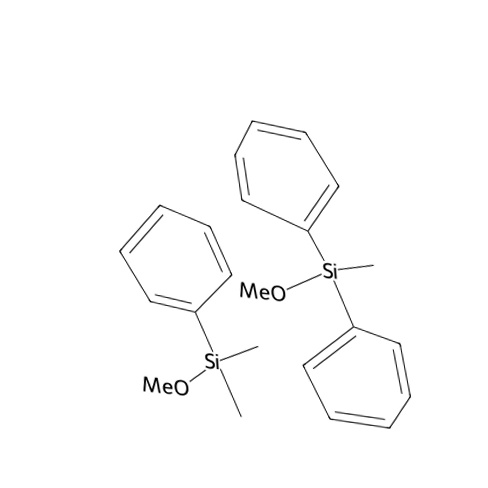 CO[Si](C)(C)c1ccccc1.CO[Si](C)(c1ccccc1)c1ccccc1